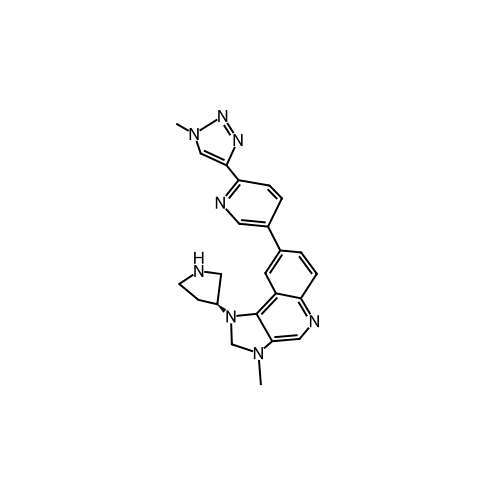 CN1CN([C@H]2CCNC2)c2c1cnc1ccc(-c3ccc(-c4cn(C)nn4)nc3)cc21